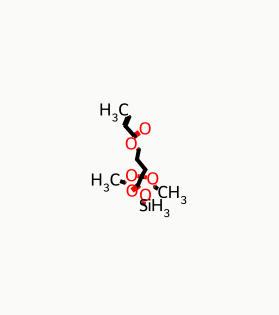 CC=CC(=O)OCCCC(OCC)(OCC)C(=O)O[SiH3]